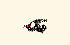 CO[C@H]1CC(O[C@@H]2/C(C)=C/C[C@@H]3C[C@@H](C[C@]4(CC[C@H](C)[C@@H](C5CCCCC5)O4)O3)OC(=O)[C@@H]3C=C(C)C[C@H]4OC/C(=C\C=C\[C@@H]2C)C43O)O[C@@H](C)C1O